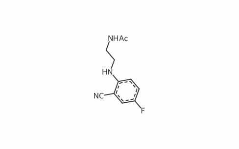 CC(=O)NCCNc1ccc(F)cc1C#N